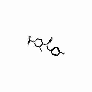 N#CN(Cc1ccc(F)cc1)[C@@H]1CCN(C(=O)O)C[C@@H]1F